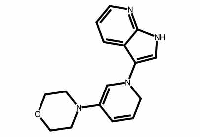 C1=CC(N2CCOCC2)=CN(c2c[nH]c3ncccc23)C1